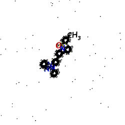 Cc1ccc([S+]([O-])n2c3ccccc3c3cc(-c4ccc5c(c4)n4c6ccccc6nc4n5-c4ccccc4)ccc32)cc1